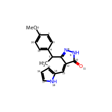 COc1ccc(C(C)C2=NNC(=O)/C2=C/c2ccc[nH]2)cc1